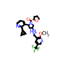 COc1ncc(C(F)(F)F)cc1CNC1CC(c2cccnc2C2CC2)N(C(=O)[C@@H]2CCCO2)C1